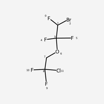 FC(Br)C(F)(F)OCC(F)(F)Cl